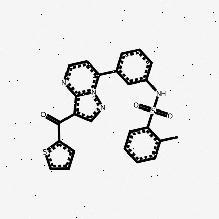 Cc1ccccc1S(=O)(=O)Nc1cccc(-c2ccnc3c(C(=O)c4cccs4)cnn23)c1